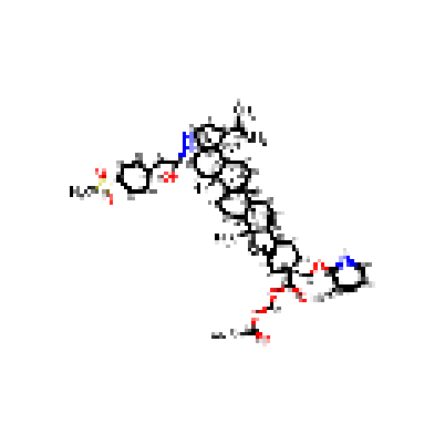 C=C(C)[C@@H]1CC[C@]2(NCC[C@]3(O)CC[C@@H](S(C)(=O)=O)CC3)CC[C@]3(C)[C@H](CC[C@@H]4[C@@]5(C)CC=C(C6=CC[C@@](COc7ncccc7C#N)(C(=O)OCOC(=O)CCCCCCCCC)CC6)C(C)(C)[C@@H]5CC[C@]43C)[C@@H]12